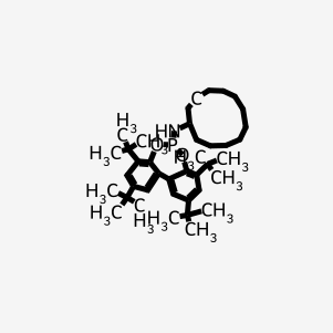 CC(C)(C)c1cc(C(C)(C)C)c2op(NC3CCCCCCCCCCC3)oc3c(C(C)(C)C)cc(C(C)(C)C)cc3c2c1